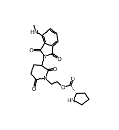 CNc1cccc2c1C(=O)N(C1CCC(=O)N(CCOC(=O)[C@@H]3CCCN3)C1=O)C2=O